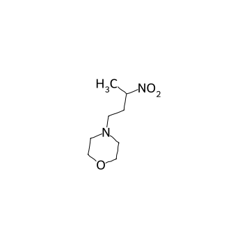 CC(CCN1CCOCC1)[N+](=O)[O-]